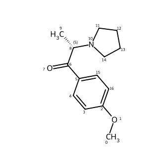 COc1ccc(C(=O)[C@H](C)N2CCCC2)cc1